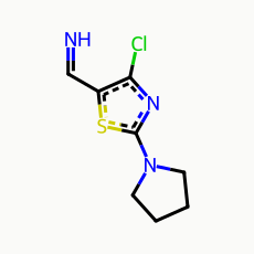 N=Cc1sc(N2CCCC2)nc1Cl